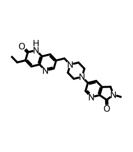 CCc1cc2ncc(CN3CCN(c4cnc5c(c4)CN(C)C5=O)CC3)cc2[nH]c1=O